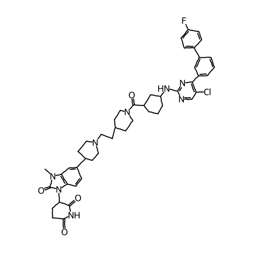 Cn1c(=O)n(C2CCC(=O)NC2=O)c2ccc(C3CCN(CCC4CCN(C(=O)C5CCCC(Nc6ncc(Cl)c(-c7cccc(-c8ccc(F)cc8)c7)n6)C5)CC4)CC3)cc21